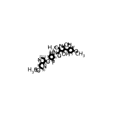 COc1ccc(-c2c(C)nc(C)c(C(=O)Nc3ccc(Oc4ccnc5cc(OC)cnc45)c(F)c3)c2O)c(F)c1